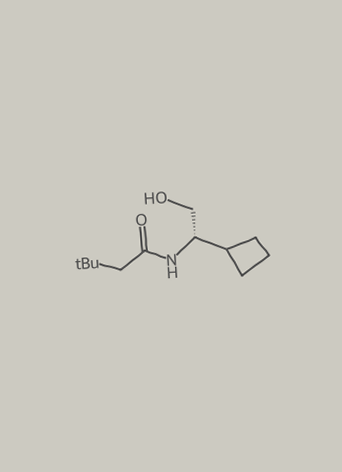 CC(C)(C)CC(=O)N[C@H](CO)C1CCC1